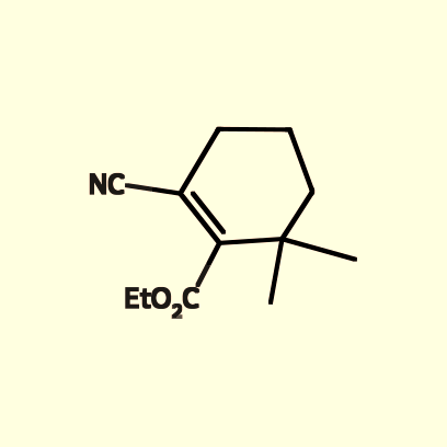 CCOC(=O)C1=C(C#N)CCCC1(C)C